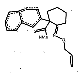 C=CCON=C1CCCCC1(C(=S)NC)c1cnc2ccccc2c1